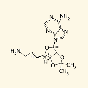 CC1(C)OC2[C@H](n3cnc4c(N)ncnc43)O[C@H](/C=C/CN)[C@H]2O1